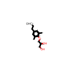 Cc1cc(CCC=O)cc(C)c1OCC(O)CO